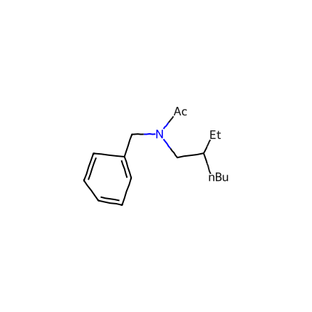 CCCCC(CC)CN(Cc1ccccc1)C(C)=O